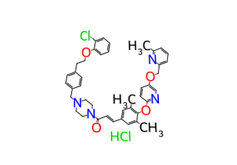 Cc1cccc(COc2ccc(Oc3c(C)cc(C=CC(=O)N4CCN(Cc5ccc(CCOc6ccccc6Cl)cc5)CC4)cc3C)nc2)n1.Cl